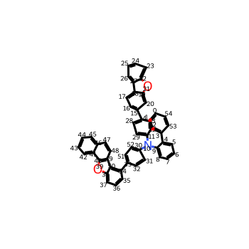 c1ccc(-c2ccccc2N(c2ccc(-c3ccc4c(c3)oc3ccccc34)cc2)c2ccc(-c3cccc4oc5c6ccccc6ccc5c34)cc2)cc1